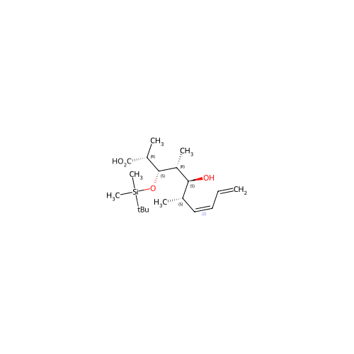 C=C/C=C\[C@H](C)[C@H](O)[C@@H](C)[C@H](O[Si](C)(C)C(C)(C)C)[C@@H](C)C(=O)O